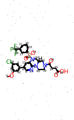 COc1cc(Cl)cc(-c2cnc3c(c2)N(S(=O)(=O)c2cccc(C(F)(F)F)c2)C[C@@H]2CN(C(=O)CCC(=O)O)CCN32)c1